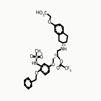 CS(=O)(=O)Nc1cc(OC[C@H](CN[C@H]2CCc3ccc(OCC(=O)O)cc3C2)OC(=O)C(F)(F)F)ccc1OCc1ccccc1